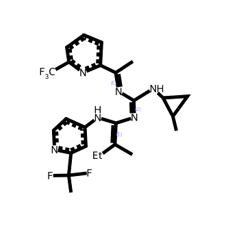 CC/C(C)=C(/N=C(\N=C(/C)c1cccc(C(F)(F)F)n1)NC1CC1C)Nc1ccnc(C(C)(F)F)c1